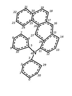 c1ccc(N(c2ccccc2)c2cccc3cc4ccc5ccccc5c4cc23)cc1